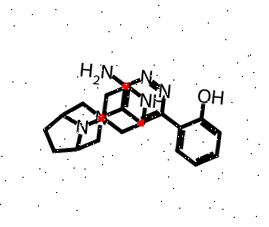 Nc1nnc(-c2ccccc2O)cc1N1CC2CCC(C1)N2C1CCNCC1